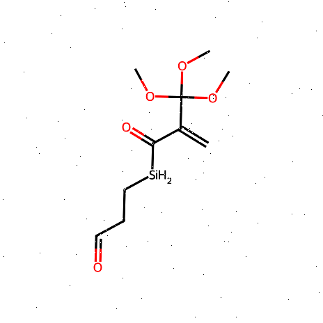 C=C(C(=O)[SiH2]CCC=O)C(OC)(OC)OC